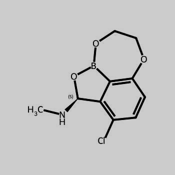 CN[C@H]1OB2OCCOc3ccc(Cl)c1c32